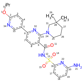 CC(C)Oc1ccc(-c2ccc(C(=O)NS(=O)(=O)c3cccc(N)n3)c(N3CCCC(C)(C)C3)n2)cn1